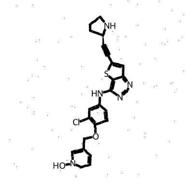 ON1C=C(COc2ccc(Nc3ncnc4cc(C#C[C@H]5CCCN5)sc34)cc2Cl)C=CC1